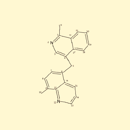 Cc1ncc(Cc2ccc(C)c3ncccc23)c2ccccc12